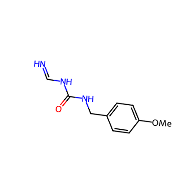 COc1ccc(CNC(=O)NC=N)cc1